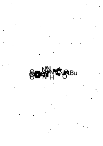 CC(C)(C)OC(=O)N1CCC(CNc2ncnc3c2cnn3-c2ccc(S(C)(=O)=O)cc2)CC1